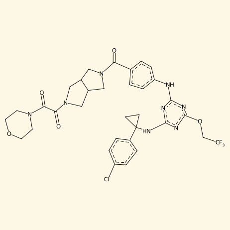 O=C(C(=O)N1CC2CN(C(=O)c3ccc(Nc4nc(NC5(c6ccc(Cl)cc6)CC5)nc(OCC(F)(F)F)n4)cc3)CC2C1)N1CCOCC1